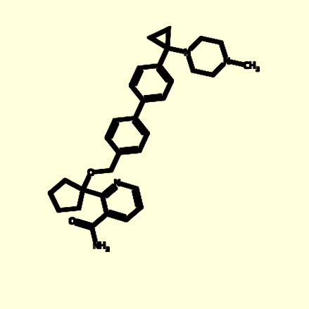 CN1CCN(C2(c3ccc(-c4ccc(COC5(c6ncccc6C(N)=O)CCCC5)cc4)cc3)CC2)CC1